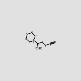 [C]#CCCC(C=O)N1CCCCC1